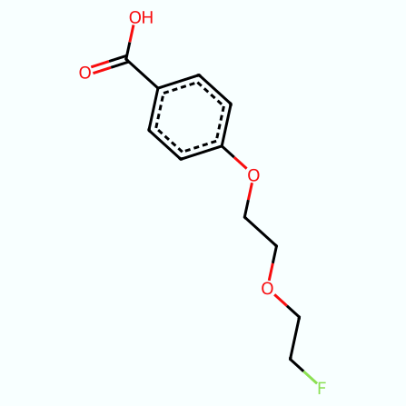 O=C(O)c1ccc(OCCOCCF)cc1